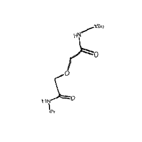 CC(C)NC(=O)COCC(=O)NC(C)(C)C